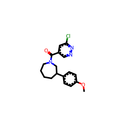 COc1ccc(C2CCCCN(C(=O)c3cnnc(Cl)c3)C2)cc1